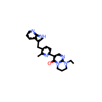 CCN1CCCn2c1ncc(-c1ccc(Cc3c[nH]c4ncccc34)c(C)n1)c2=O